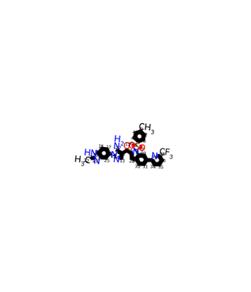 Cc1ccc(S(=O)(=O)n2c(C(=O)c3cnn(-c4ccc5[nH]c(C)nc5c4)c3N)cc3ccc(-c4cccc(C(F)(F)F)n4)cc32)cc1